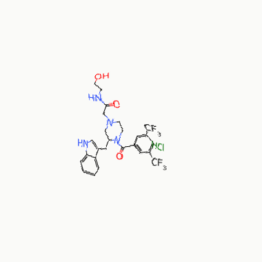 Cl.O=C(CN1CCN(C(=O)c2cc(C(F)(F)F)cc(C(F)(F)F)c2)C(Cc2c[nH]c3ccccc23)C1)NCCO